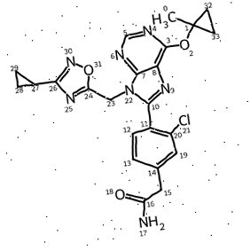 CC1(Oc2ncnc3c2nc(-c2ccc(CC(N)=O)cc2Cl)n3Cc2nc(C3CC3)no2)CC1